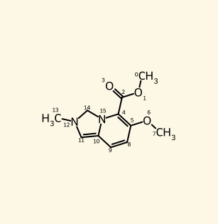 COC(=O)C1=C(OC)C=CC2=CN(C)CN21